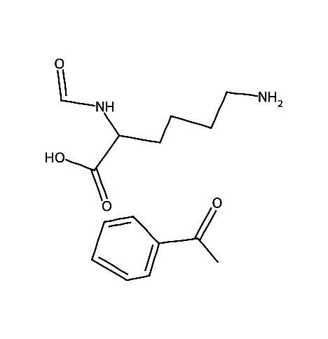 CC(=O)c1ccccc1.NCCCCC(NC=O)C(=O)O